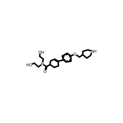 O=C(C1CC=C(c2ccc(OCC3CCNCC3)cc2)CC1)N(CCO)CCO